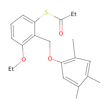 CCOc1cccc(SC(=O)CC)c1COc1cc(C)c(C)cc1C